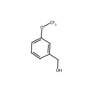 OCc1[c]ccc(OC(F)(F)F)c1